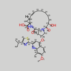 COc1ccc2c(O[C@@H]3C[C@H]4C(=O)N[C@]5(C(=O)O)C[C@H]5C=CCCCCCC(O)C(=O)N4C3)cc(-c3nc(C(C)C)cs3)nc2c1C